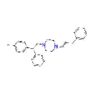 Fc1ccc(C(CN2CCN(/C=C/Cc3ccccc3)CC2)c2ccccc2)cc1